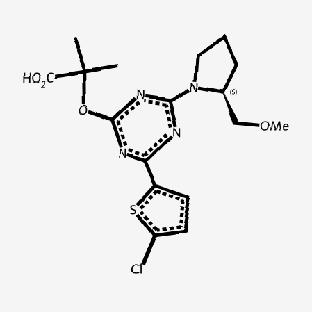 COC[C@@H]1CCCN1c1nc(OC(C)(C)C(=O)O)nc(-c2ccc(Cl)s2)n1